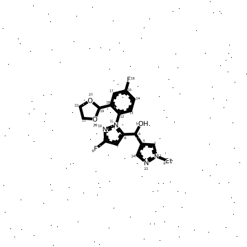 CCn1cc(C(O)c2cc(F)nn2-c2ccc(F)cc2C2OCCO2)cn1